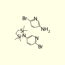 C[Si]1(C)CC[Si](C)(C)N1c1ccc(Br)nc1.Nc1ccc(Br)nc1